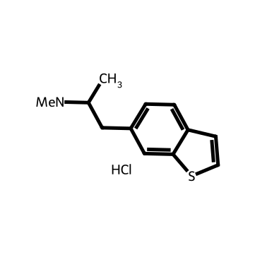 CNC(C)Cc1ccc2ccsc2c1.Cl